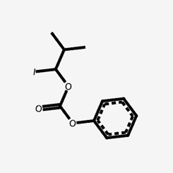 CC(C)C(I)OC(=O)Oc1ccccc1